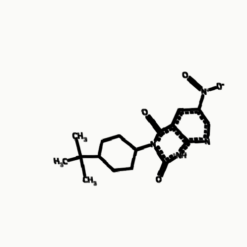 CC(C)(C)C1CCC(n2c(=O)[nH]c3ncc([N+](=O)[O-])cc3c2=O)CC1